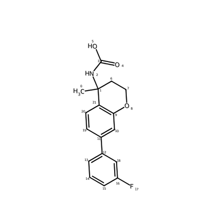 CC1(NC(=O)O)CCOc2cc(-c3cccc(F)c3)ccc21